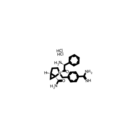 Cl.Cl.N=C(N)c1ccc(C[N+]2(C(=O)[C@H](N)c3ccccc3)CC[C@@H]3C[C@@]32C(N)=O)cc1